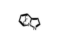 c1cc2c3ccc(n2n1)CC3